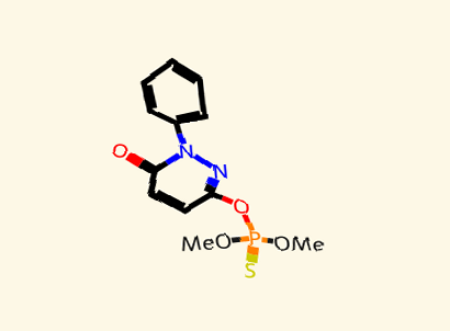 COP(=S)(OC)Oc1ccc(=O)n(-c2ccccc2)n1